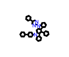 c1ccc(-c2ccc(-n3c4ccccc4c4c(-c5ccccc5)c5c6ccccc6n(-c6ncc(-c7ccccc7)cn6)c5cc43)cc2)cc1